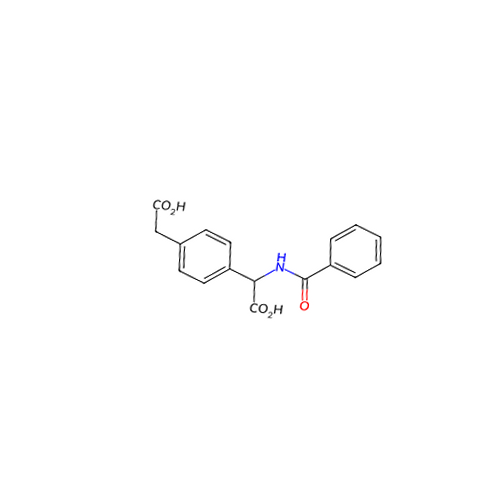 O=C(O)Cc1ccc(C(NC(=O)c2ccccc2)C(=O)O)cc1